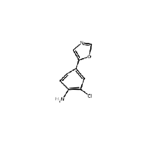 Nc1ccc(-c2cnco2)cc1Cl